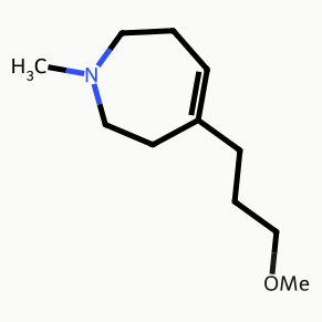 COCCCC1=CCCN(C)CC1